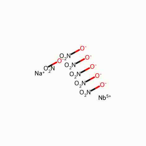 O=[N+]([O-])[O-].O=[N+]([O-])[O-].O=[N+]([O-])[O-].O=[N+]([O-])[O-].O=[N+]([O-])[O-].O=[N+]([O-])[O-].[Na+].[Nb+5]